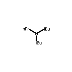 CC[CH]N(C(C)CC)C(C)CC